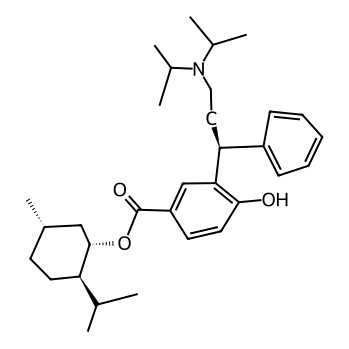 CC(C)[C@H]1CC[C@H](C)C[C@@H]1OC(=O)c1ccc(O)c([C@@H](CCN(C(C)C)C(C)C)c2ccccc2)c1